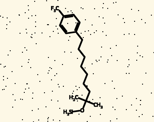 CC(C)(CCCCCCCc1ccc(C(F)(F)F)cc1)O[SiH3]